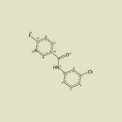 O=C(Nc1cccc(Cl)c1)c1ccc(F)nc1